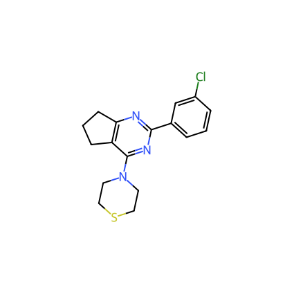 Clc1cccc(-c2nc3c(c(N4CCSCC4)n2)CCC3)c1